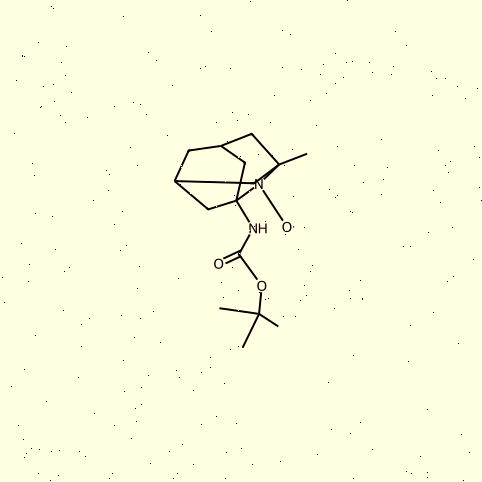 CC(C)(C)OC(=O)NC12CC3CC(CC(C)(C3)N1[O])C2